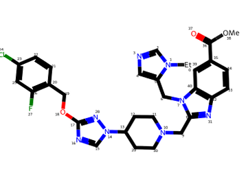 CCn1cncc1Cn1c(CN2CCC(n3cnc(OCc4ccc(Cl)cc4F)n3)CC2)nc2ccc(C(=O)OC)cc21